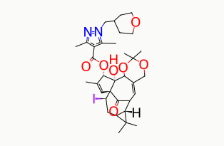 CC1=C[C@]23C(=O)C(C=C4COC(C)(C)OC4[C@]2(O)[C@H]1OC(=O)c1c(C)nn(CC2CCOCC2)c1C)[C@H]1C(C[C@H]3I)C1(C)C